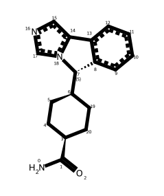 NC(=O)[C@H]1CC[C@@H]([C@H]2c3ccccc3-c3cncn32)CC1